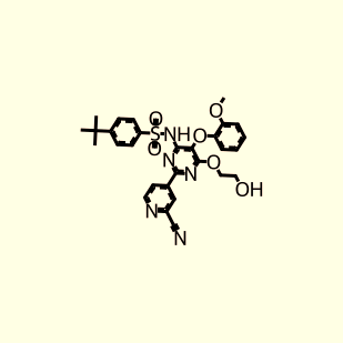 COc1ccccc1Oc1c(NS(=O)(=O)c2ccc(C(C)(C)C)cc2)nc(-c2ccnc(C#N)c2)nc1OCCO